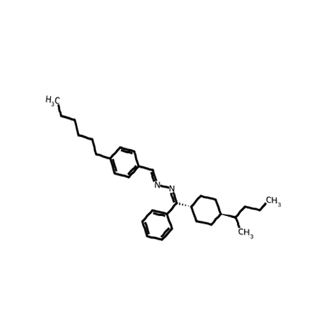 CCCCCCc1ccc(C=NN=C(c2ccccc2)[C@H]2CC[C@H](C(C)CCC)CC2)cc1